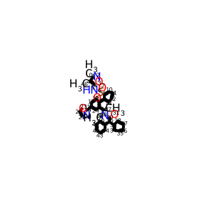 Cc1noc(NS(=O)(=O)c2ccccc2-c2ccc(-c3ncco3)cc2C(C)N(C)C(=O)C(c2ccccc2)c2ccccc2)c1C